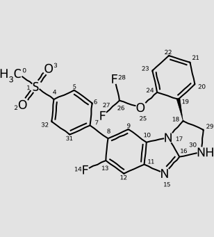 CS(=O)(=O)c1ccc(-c2cc3c(cc2F)nc2n3[C@@H](c3ccccc3OC(F)F)CN2)cc1